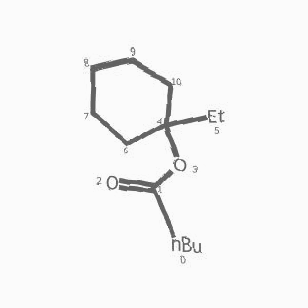 CCCCC(=O)OC1(CC)CCCCC1